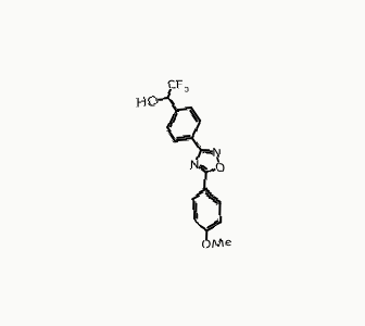 COc1ccc(-c2nc(-c3ccc(C(O)C(F)(F)F)cc3)no2)cc1